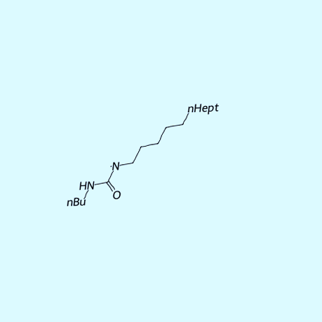 CCCCCCCCCCCC[N]C(=O)NCCCC